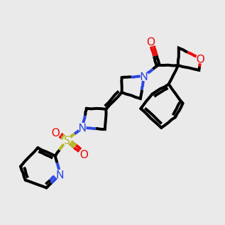 O=C(N1CC(=C2CN(S(=O)(=O)c3ccccn3)C2)C1)C1(c2ccccc2)COC1